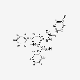 O=C(Cc1ccc(I)cc1)Nc1ncc(-c2ccccc2)nc1C(O)c1ccccc1